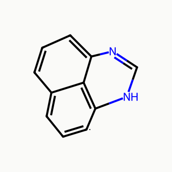 [c]1ccc2cccc3c2c1NC=N3